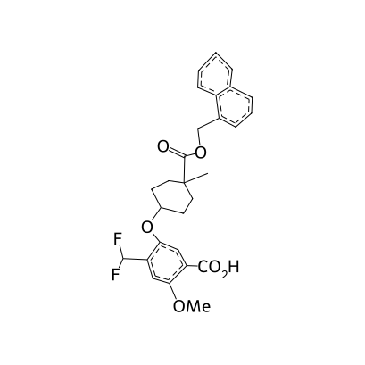 COc1cc(C(F)F)c(OC2CCC(C)(C(=O)OCc3cccc4ccccc34)CC2)cc1C(=O)O